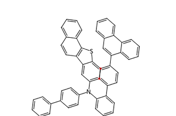 c1ccc(-c2ccc(N(c3ccc4sc5c6ccccc6ccc5c4c3)c3ccccc3-c3ccc(-c4cc5ccccc5c5ccccc45)cc3)cc2)cc1